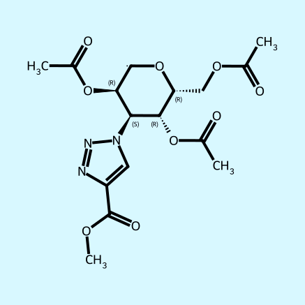 COC(=O)c1cn([C@@H]2[C@@H](OC(C)=O)[C@@H](COC(C)=O)O[CH][C@@H]2OC(C)=O)nn1